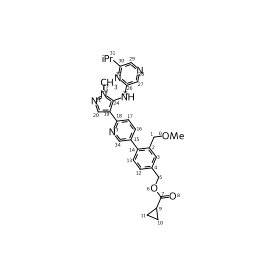 COCc1cc(COC(=O)C2CC2)ccc1-c1ccc(-c2cnn(C)c2Nc2cncc(C(C)C)n2)nc1